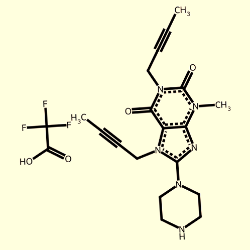 CC#CCn1c(=O)c2c(nc(N3CCNCC3)n2CC#CC)n(C)c1=O.O=C(O)C(F)(F)F